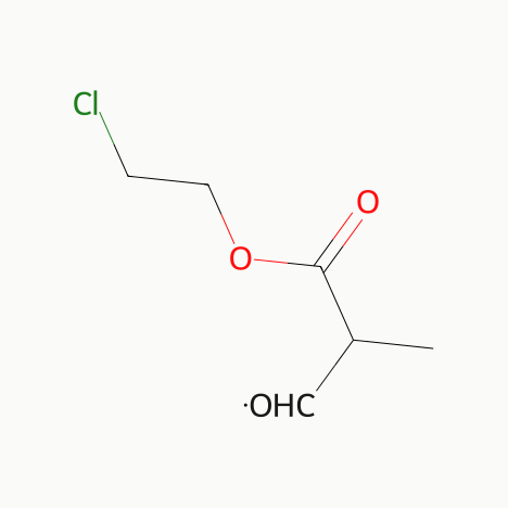 CC([C]=O)C(=O)OCCCl